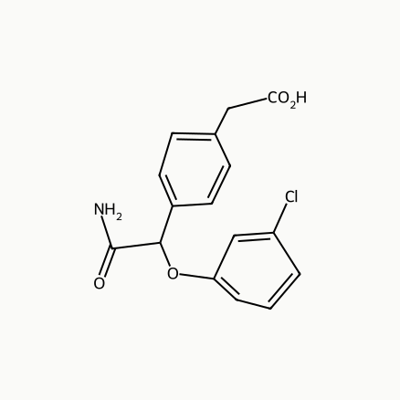 NC(=O)C(Oc1cccc(Cl)c1)c1ccc(CC(=O)O)cc1